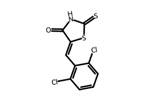 O=C1NC(=S)SC1=Cc1c(Cl)cccc1Cl